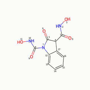 O=C(NO)C1C(=O)N(C(=O)NO)c2ccccc21